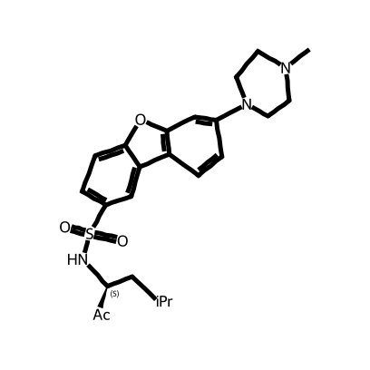 CC(=O)[C@H](CC(C)C)NS(=O)(=O)c1ccc2oc3cc(N4CCN(C)CC4)ccc3c2c1